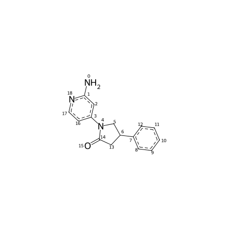 Nc1cc(N2CC(c3ccccc3)CC2=O)ccn1